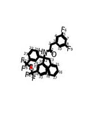 O=C(Cc1cc(F)cc(F)c1)NC(Cc1ccccc1)(c1cccc(C(F)(F)F)c1)c1cccc(C(F)(F)F)c1